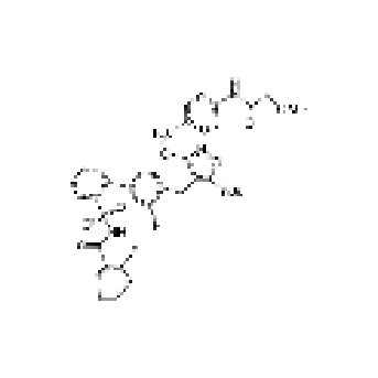 CCCCc1nn(-c2cc(NC(=O)COC)ccc2C(F)(F)F)c(Cl)c1Cc1ccc(-c2ccccc2S(=O)(=O)NC(=O)c2ccccc2F)cc1F